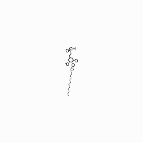 CCCCCCCCCCCCOCOc1c(OC)cc(C=CC(=O)O)cc1OC